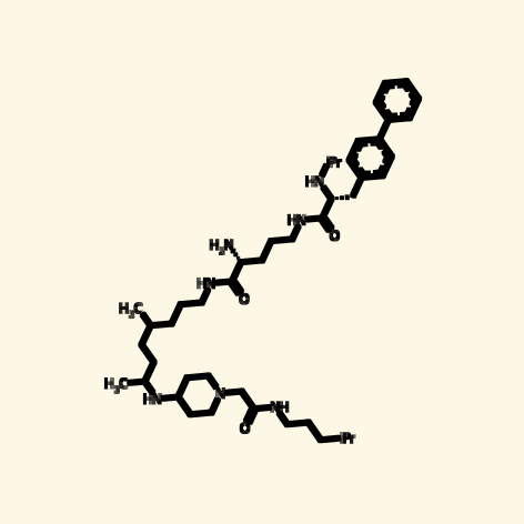 CC(C)CCCNC(=O)CN1CCC(NC(C)CCC(C)CCCNC(=O)[C@H](N)CCCNC(=O)[C@@H](Cc2ccc(-c3ccccc3)cc2)NC(C)C)CC1